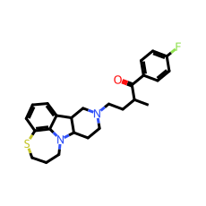 CC(CCN1CCC2C(C1)c1cccc3c1N2CCCS3)C(=O)c1ccc(F)cc1